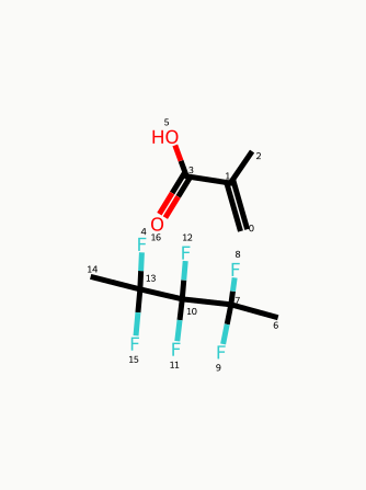 C=C(C)C(=O)O.CC(F)(F)C(F)(F)C(C)(F)F